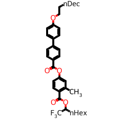 CCCCCCCCCCCCOc1ccc(-c2ccc(C(=O)Oc3ccc(C(=O)OC(CCCCCC)C(F)(F)F)c(C)c3)cc2)cc1